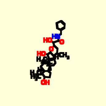 C[C@@H]1CC(C(O)C(=O)NCc2ccccc2)OC2[C@H]1C1(C)CCC34CC35CCC(O)C(C)(C)[C@@H]5CCC4[C@]1(C)[C@H]2O